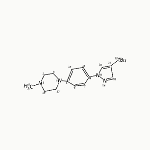 CN1CCN(c2ccc(-n3cc(C(C)(C)C)cn3)cc2)CC1